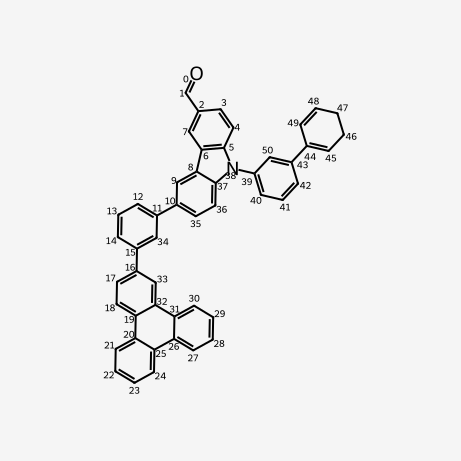 O=Cc1ccc2c(c1)c1cc(-c3cccc(-c4ccc5c6ccccc6c6ccccc6c5c4)c3)ccc1n2-c1cccc(C2=CCCC=C2)c1